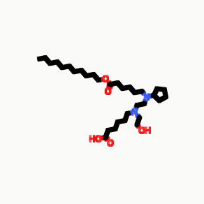 CCCCCCCCCCCOC(=O)CCCCCN(CCN(CCO)CCCCCC(=O)O)C1CCCC1